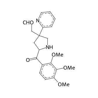 COc1ccc(C(=O)C2CC(CC=O)(c3ccccn3)CN2)c(OC)c1OC